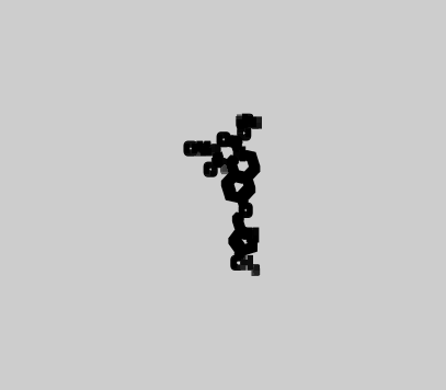 COC(=O)[C@H]1c2ccc(OCC3=NCC(C)=C3)cc2CCN1C(=O)OC(C)(C)C